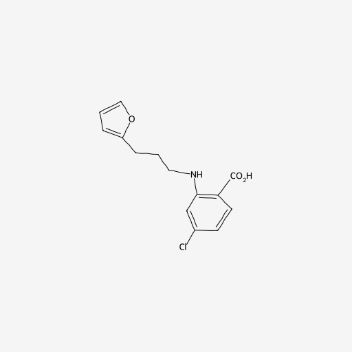 O=C(O)c1ccc(Cl)cc1NCCCc1ccco1